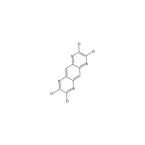 Clc1nc2cc3nc(Cl)c(Cl)nc3cc2nc1Cl